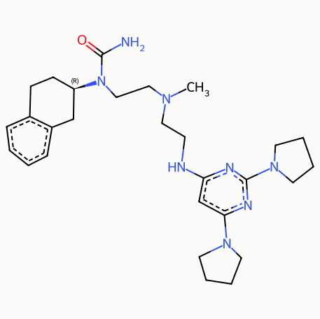 CN(CCNc1cc(N2CCCC2)nc(N2CCCC2)n1)CCN(C(N)=O)[C@@H]1CCc2ccccc2C1